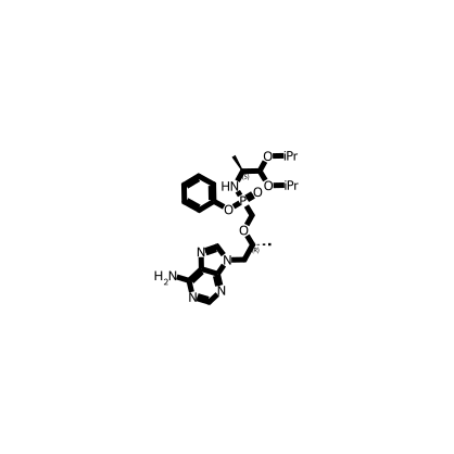 CC(C)OC(OC(C)C)[C@H](C)NP(=O)(CO[C@H](C)Cn1cnc2c(N)ncnc21)Oc1ccccc1